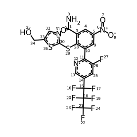 NC(=O)c1cc([N+](=O)[O-])cc(-c2ncc(C(F)(F)C(F)(F)C(F)(F)F)cc2F)c1Sc1ncc(CO)s1